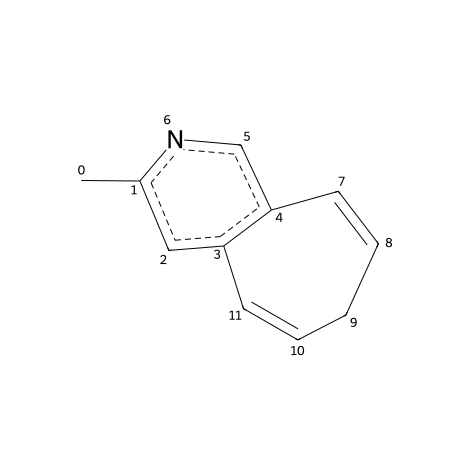 Cc1cc2c(cn1)C=CCC=C2